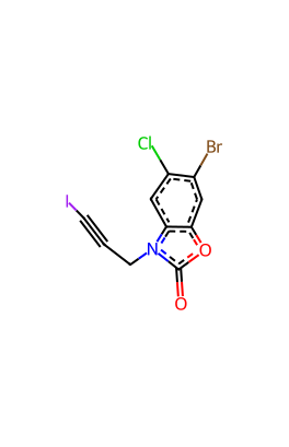 O=c1oc2cc(Br)c(Cl)cc2n1CC#CI